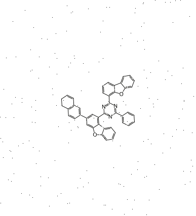 C1=Cc2cc(-c3cc(-c4nc(-c5ccccc5)nc(-c5cccc6c5oc5ccccc56)n4)c4c(c3)oc3ccccc34)ccc2CC1